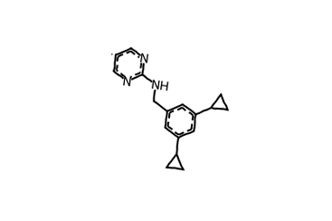 [c]1cnc(NCc2cc(C3CC3)cc(C3CC3)c2)nc1